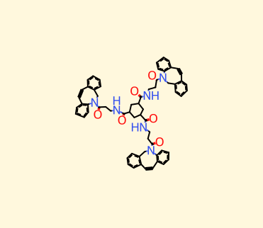 O=C(NCCC(=O)N1Cc2ccccc2C#Cc2ccccc21)C1CC(C(=O)NCCC(=O)N2Cc3ccccc3C#Cc3ccccc32)CC(C(=O)NCCC(=O)N2Cc3ccccc3C#Cc3ccccc32)C1